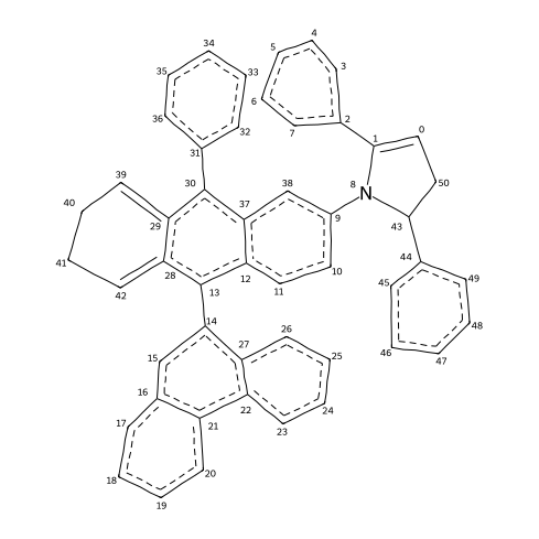 C1=C(c2ccccc2)N(c2ccc3c(-c4cc5ccccc5c5ccccc45)c4c(c(-c5ccccc5)c3c2)=CCCC=4)C(c2ccccc2)C1